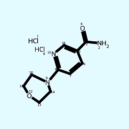 Cl.Cl.NC(=O)c1ccc(N2CCOCC2)nc1